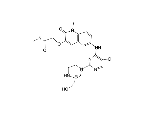 CNC(=O)COc1cc2cc(Nc3nc(N4CCN[C@@H](CO)C4)ncc3Cl)ccc2n(C)c1=O